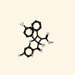 COC(=O)C1C(c2ccccc2)C2(c3ccc(C(F)(F)F)cc3)Oc3cc(Cl)cnc3C(=O)C12O